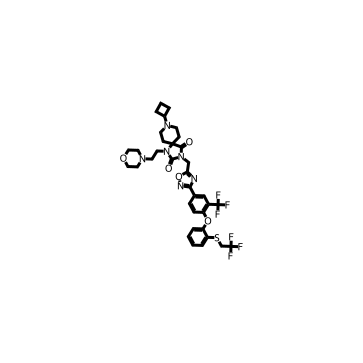 O=C1N(Cc2nc(-c3ccc(Oc4ccccc4SCC(F)(F)F)c(C(F)(F)F)c3)no2)C(=O)C2(CCN(C3CCC3)CC2)N1CCN1CCOCC1